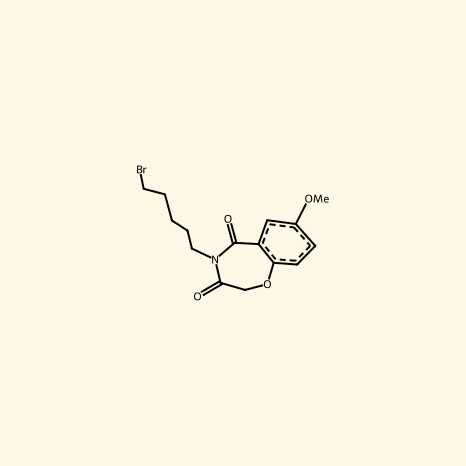 COc1ccc2c(c1)C(=O)N(CCCCCBr)C(=O)CO2